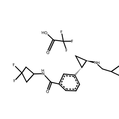 O=C(NC1CC(F)(F)C1)c1cccc([C@@H]2C[C@H]2NCC2CC2)c1.O=C(O)C(F)(F)F